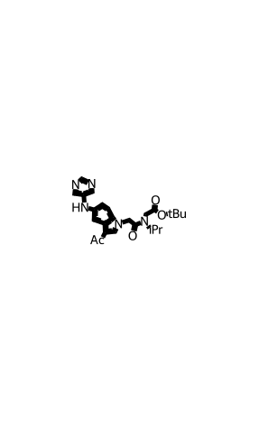 CC(=O)c1cn(CC(=O)N(CC(=O)OC(C)(C)C)C(C)C)c2ccc(Nc3cncnc3)cc12